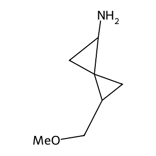 COCC1CC12CC2N